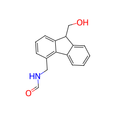 O=CNCc1cccc2c1-c1ccccc1C2CO